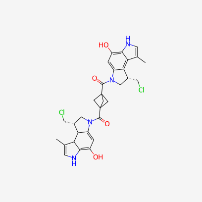 CC1=CNC2=C(O)C=C3C(C12)[C@H](CCl)CN3C(=O)C12CC(C(=O)N3C[C@@H](CCl)c4c3cc(O)c3[nH]cc(C)c43)(C1)C2